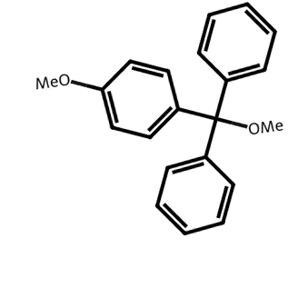 COc1ccc(C(OC)(c2ccccc2)c2ccccc2)cc1